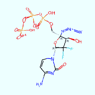 [N-]=[N+]=N[C@]1(COP(=O)(O)OP(=O)(O)OP(=O)(O)O)O[C@@H](n2ccc(N)nc2=O)C(F)(F)[C@@H]1O